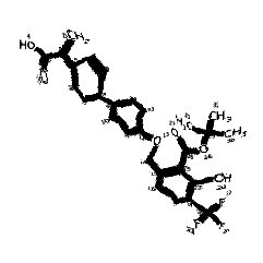 C=C(C(=O)O)c1ccc(-c2ccc(OCc3ccc(C(F)(F)F)c(O)c3C(=O)OC(C)(C)C)cc2)cc1